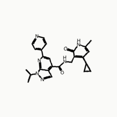 Cc1cc(C2CC2)c(CNC(=O)c2cc(-c3ccncc3)nc3c2cnn3C(C)C)c(=O)[nH]1